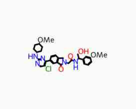 COc1cccc(C(CO)NC(=O)CN2Cc3ccc(-c4nc(N[C@H]5CC[C@H](OC)CC5)ncc4Cl)cc3C2=O)c1